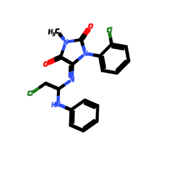 CN1C(=O)/C(=N\C(CCl)Nc2ccccc2)N(c2ccccc2Cl)C1=O